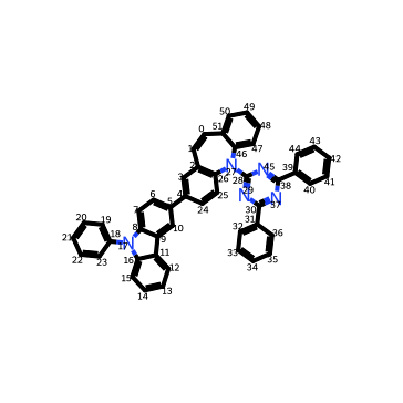 C1=Cc2cc(-c3ccc4c(c3)c3ccccc3n4-c3ccccc3)ccc2N(c2nc(-c3ccccc3)nc(-c3ccccc3)n2)c2ccccc21